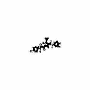 Cc1cc(NC(=O)c2c(C)c(C(=O)C(=O)NC3(C)CCC(O)CC3)n(C)c2C2CC2)ccc1F